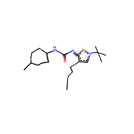 CCCCc1cn(C(C)(C)C)sc1=NC(=O)NC1CCC(C)CC1